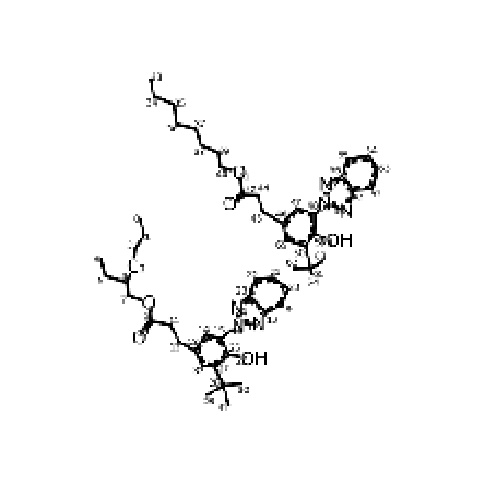 CCCCC(CC)COC(=O)CCc1cc(-n2nc3ccccc3n2)c(O)c(C(C)(C)C)c1.CCCCCCCCOC(=O)CCc1cc(-n2nc3ccccc3n2)c(O)c(C(C)(C)C)c1